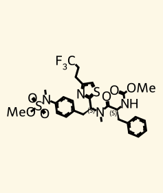 COC(=O)N[C@@H](Cc1ccccc1)C(=O)N(C)[C@@H](Cc1ccc(N(C)S(=O)(=O)OC)cc1)c1nc(CCC(F)(F)F)cs1